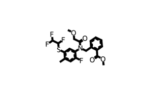 COCC(=O)N(Cc1ccccc1C(=O)OC)c1cc(SC(F)C(F)F)c(C)cc1F